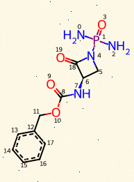 NP(N)(=O)N1C[C@@H](NC(=O)OCc2ccccc2)C1=O